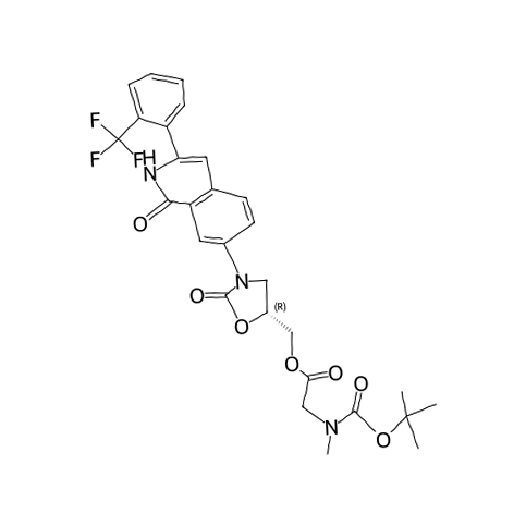 CN(CC(=O)OC[C@H]1CN(c2ccc3cc(-c4ccccc4C(F)(F)F)[nH]c(=O)c3c2)C(=O)O1)C(=O)OC(C)(C)C